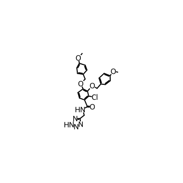 COc1ccc(COc2ccc(C(=O)NCc3nn[nH]n3)c(Cl)c2OCc2ccc(OC)cc2)cc1